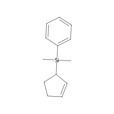 C[Si](C)(c1ccccc1)C1C=CCC1